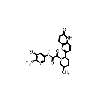 CCc1cc(NC(=O)C(=O)N2CC(C)CCC2c2ccc3[nH]c(=O)ccc3n2)cnc1N